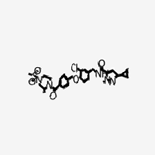 CC1CN(S(C)(=O)=O)CCN1C(=O)c1ccc(COc2ccc(CNC(=O)c3cc(C4CC4)nn3C)cc2Cl)cc1